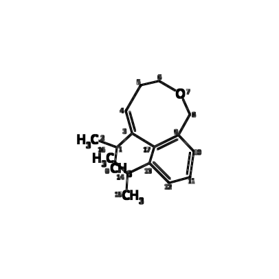 CC(C)/C1=C/CCOCc2cccc(C(C)C)c21